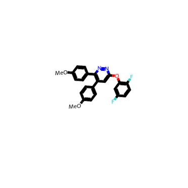 COc1ccc(-c2cc(Oc3cc(F)ccc3F)nnc2-c2ccc(OC)cc2)cc1